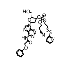 N#CCCOP(=O)(OCCSSc1ccccn1)O[C@@H]1C[C@H](n2cnc3c(NC(=O)COc4ccccc4)ncnc32)O[C@@H]1CO